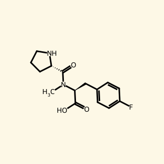 CN(C(=O)[C@@H]1CCCN1)[C@@H](Cc1ccc(F)cc1)C(=O)O